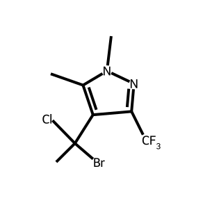 Cc1c(C(C)(Cl)Br)c(C(F)(F)F)nn1C